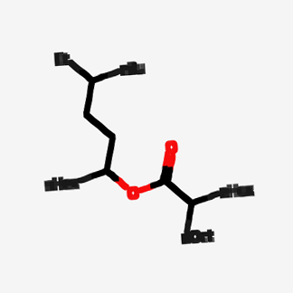 CCCCCCCCC(CCCCCC)C(=O)OC(CCCCCC)CCC(CC)CCCC